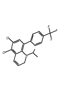 CC(C)N1CC=Cc2c(Cl)c(Cl)cc(-c3ccc(C(F)(F)F)cc3)c21